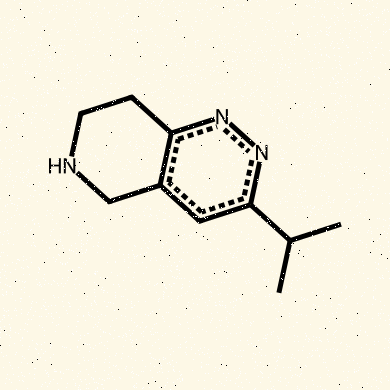 CC(C)c1cc2c(nn1)CCNC2